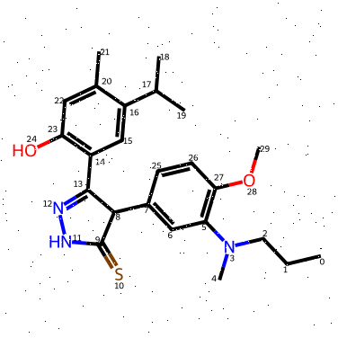 CCCN(C)c1cc(C2C(=S)NN=C2c2cc(C(C)C)c(C)cc2O)ccc1OC